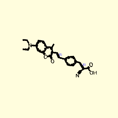 CCN(CC)c1ccc2c(C)c(/C=C/c3ccc(/C=C(\C#N)C(=O)O)cc3)c(=O)oc2c1